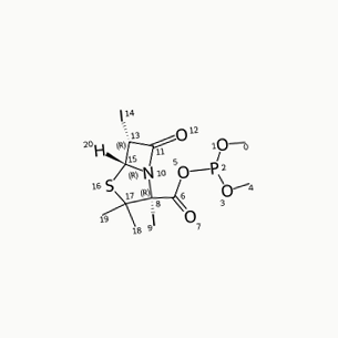 COP(OC)OC(=O)[C@]1(I)N2C(=O)[C@@H](I)[C@H]2SC1(C)C